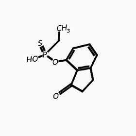 CCP(O)(=S)Oc1cccc2c1C(=O)CC2